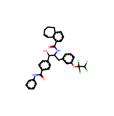 O=C(Nc1ccccc1)c1ccc(C(O)C(Cc2cccc(OC(F)(F)C(F)F)c2)NC(=O)c2cccc3c2C=CCCC3)cc1